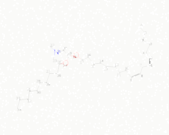 CCCCC/C=C\C/C=C\CCCCCCCCOC(CN(C)C)OCCCCCCCCCC